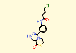 O=C(CCCCl)Nc1cccc(C2=NNCC3C(=O)SCCN23)c1